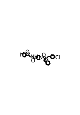 O=C(NCC1COc2cnccc21)C1CCN(C(=O)c2cc3ccccc3n2Cc2ccc(Cl)cc2)CC1